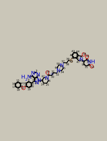 Nc1ncnc2c1c(-c1ccc(Oc3ccccc3)cc1)nn2C1CCCN(C(=O)/C=C/CN2CCN(CCCSc3cccc4c3CN(C3CCC(=O)NC3=O)C4=O)CC2)C1